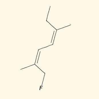 CC/C(C)=C\C=C(\C)CF